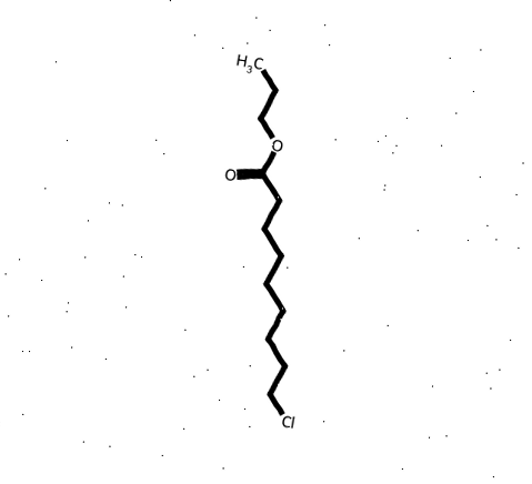 CCCOC(=O)CCCCCCCCCl